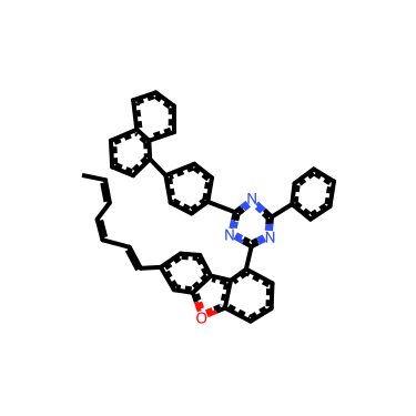 C\C=C/C=C\C=C\c1ccc2c(c1)oc1cccc(-c3nc(-c4ccccc4)nc(-c4ccc(-c5cccc6ccccc56)cc4)n3)c12